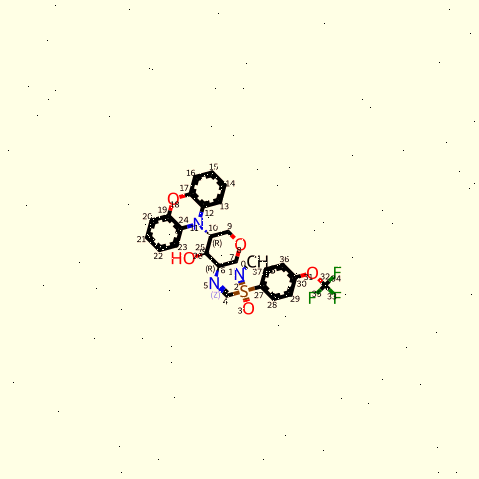 CN=S(=O)(/C=N\[C@@H]1COC[C@@H](N2c3ccccc3Oc3ccccc32)[C@@H]1O)c1ccc(OC(F)(F)F)cc1